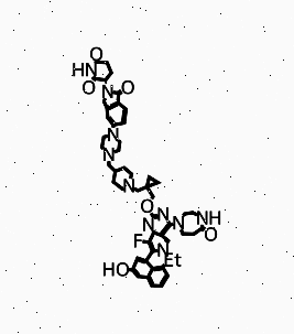 CCc1cccc2cc(O)cc(-c3ncc4c(N5CCNC(=O)CC5)nc(OCC5(CN6CCC(CN7CCN(c8ccc9c(c8)CN([C@H]8CCC(=O)NC8=O)C9=O)CC7)CC6)CC5)nc4c3F)c12